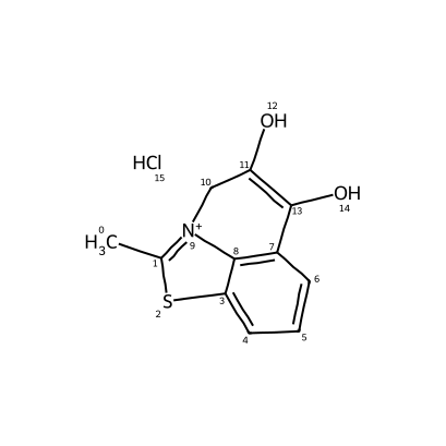 Cc1sc2cccc3c2[n+]1CC(O)=C3O.Cl